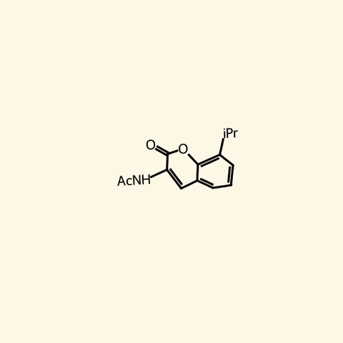 CC(=O)Nc1cc2cccc(C(C)C)c2oc1=O